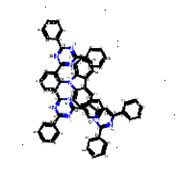 c1ccc(-c2cc(-c3ccc4c(c3)c3ccccc3n4-c3c(-c4nc(-c5ccccc5)nc(-c5ccccc5)n4)cccc3-c3nc(-c4ccccc4)nc(-c4ccccc4)n3)nc(-c3ccccc3)n2)cc1